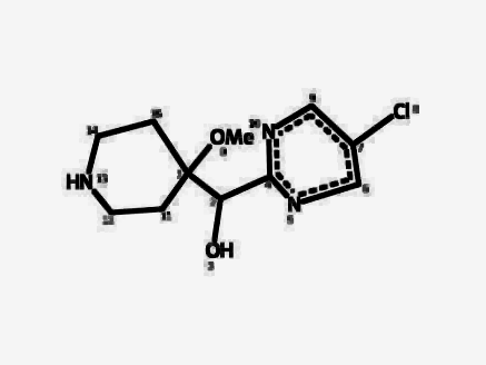 COC1(C(O)c2ncc(Cl)cn2)CCNCC1